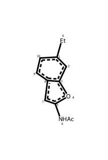 CCc1[c]c2oc(NC(C)=O)cc2cc1